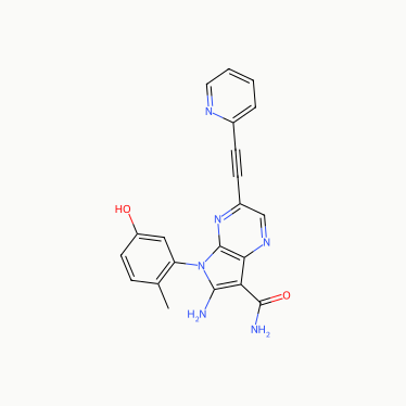 Cc1ccc(O)cc1-n1c(N)c(C(N)=O)c2ncc(C#Cc3ccccn3)nc21